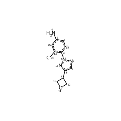 Nc1cnc(-n2ncc(C3COC3)n2)c(Cl)c1